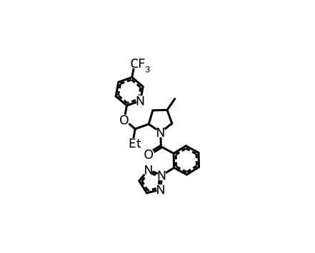 CCC(Oc1ccc(C(F)(F)F)cn1)C1CC(C)CN1C(=O)c1ccccc1-n1nccn1